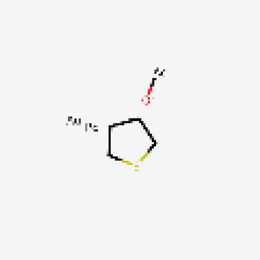 C1CCSC1.CC(=O)[O-].[Au+].[Pd]